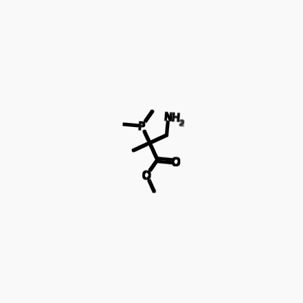 COC(=O)C(C)(CN)P(C)C